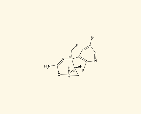 NC1=N[C@@](CF)(c2cc(Br)cnc2F)[C@@H]2C[C@@H]2O1